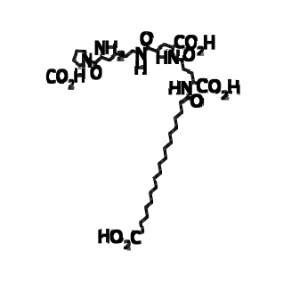 N[C@@H](CCCCNC(=O)CC[C@H](NC(=O)CC[C@H](NC(=O)CCCCCCCCCCCCCCCCCCC(=O)O)C(=O)O)C(=O)O)C(=O)N1CCC[C@H]1C(=O)O